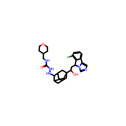 O=C(NCC1CCOCC1)NNC1C2CC3CC1CC(C(O)CC1c4c(F)cccc4-c4cncn41)(C3)C2